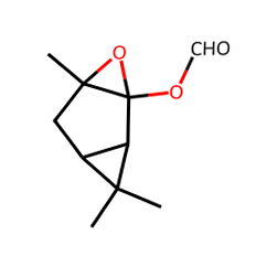 CC1(C)C2CC3(C)OC3(OC=O)C21